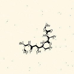 CC[C@H](C)[C@@H](CO)NC(=O)C[C@H](O)[C@H](CC(C)C)NC(=O)[C@@H](NC(=O)OC(C)(C)C)C(C)C